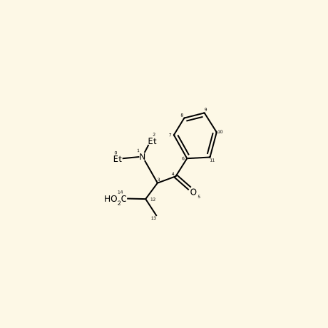 CCN(CC)C(C(=O)c1ccccc1)C(C)C(=O)O